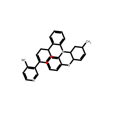 CC1C=CC2Sc3ccccc3N(c3ccccc3C3C=CC(c4cnccc4C#N)=CC3)C2C1